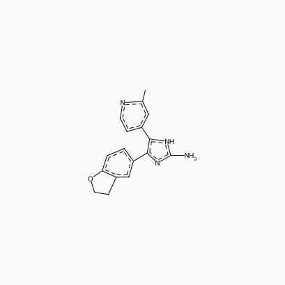 Cc1cc(-c2[nH]c(N)nc2-c2ccc3c(c2)CCO3)ccn1